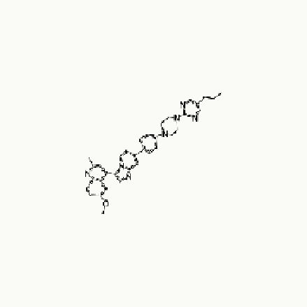 CCCc1cnc(N2CCN(c3ccc(-c4ccn5c(-c6cc(C)nc7ccc(OC)cc67)cnc5c4)cc3)CC2)nc1